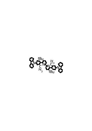 Cc1cc(-n2c3ccccc3c3ccccc32)ccc1-c1nc(-c2ccc(C(C)(C)C)c(-c3ccc(-n4c5ccccc5c5ccccc54)cc3C)n2)ccc1C(C)(C)C